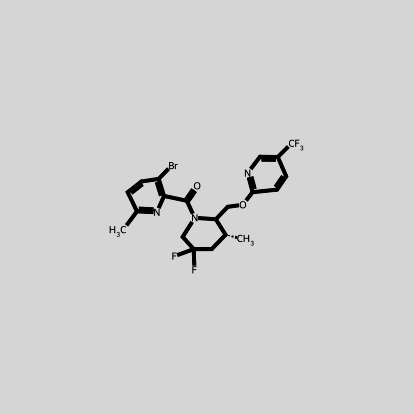 Cc1ccc(Br)c(C(=O)N2CC(F)(F)C[C@@H](C)C2COc2ccc(C(F)(F)F)cn2)n1